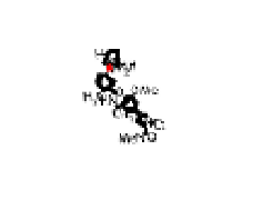 CCn1cc(-c2cc(OC)cc([C@@H](C)NC(=O)c3cc(N4C[C@H]5CC[C@@H](C4)N5C(=O)O)ccc3C)c2)cc1C(=O)NC